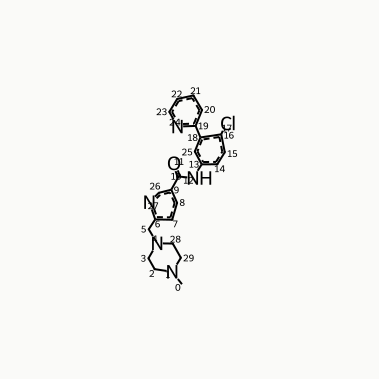 CN1CCN(Cc2ccc(C(=O)Nc3ccc(Cl)c(-c4ccccn4)c3)cn2)CC1